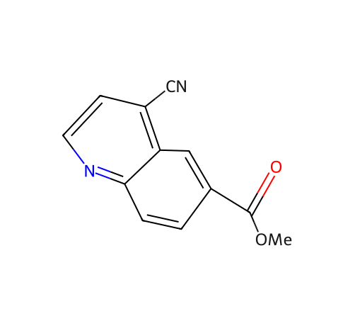 COC(=O)c1ccc2nccc(C#N)c2c1